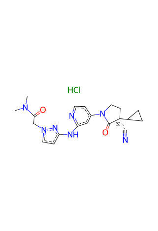 CN(C)C(=O)Cn1ccc(Nc2cc(N3CC[C@@](C#N)(C4CC4)C3=O)ccn2)n1.Cl